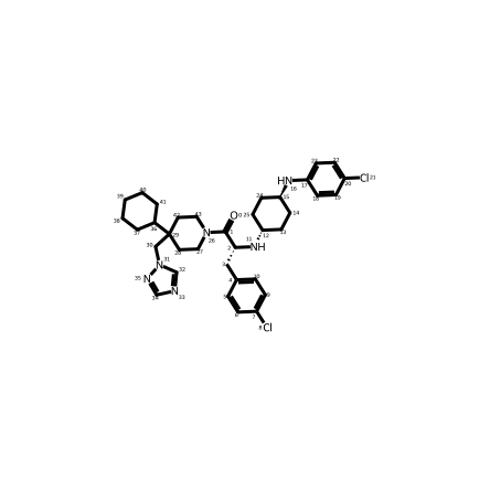 O=C([C@@H](Cc1ccc(Cl)cc1)N[C@H]1CC[C@H](Nc2ccc(Cl)cc2)CC1)N1CCC(Cn2cncn2)(C2CCCCC2)CC1